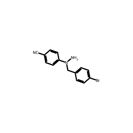 N#Cc1ccc(N(N)Cc2ccc(Br)cc2)cc1